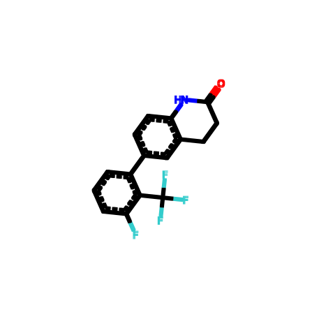 O=C1CCc2cc(-c3cccc(F)c3C(F)(F)F)ccc2N1